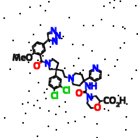 COc1ccc(C2C=NN=N2)cc1C(=O)N1CCC(CCN2CCC(NC(=O)N3CCOC(C(=O)O)C3)(c3cccnc3)CC2)(c2ccc(Cl)c(Cl)c2)C1